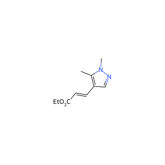 CCOC(=O)/C=C/c1cnn(C)c1C